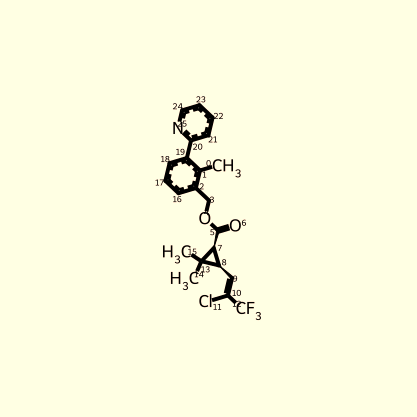 Cc1c(COC(=O)[C@H]2[C@@H](C=C(Cl)C(F)(F)F)C2(C)C)cccc1-c1ccccn1